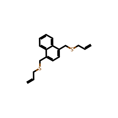 C=CCSCc1ccc(CSCC=C)c2ccccc12